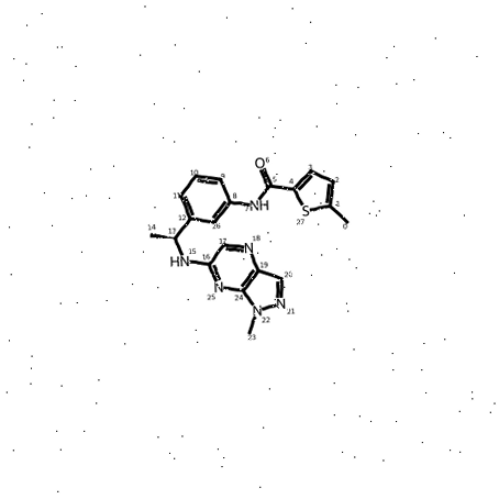 Cc1ccc(C(=O)Nc2cccc([C@H](C)Nc3cnc4cnn(C)c4n3)c2)s1